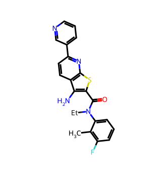 CCN(C(=O)c1sc2nc(-c3cccnc3)ccc2c1N)c1cccc(F)c1C